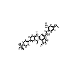 CCc1cc(C2=CCN(S(C)(=O)=O)CC2)ccc1N(C)c1cc2c(ncn2C)c(NCc2ccc(OC)cc2OC)n1